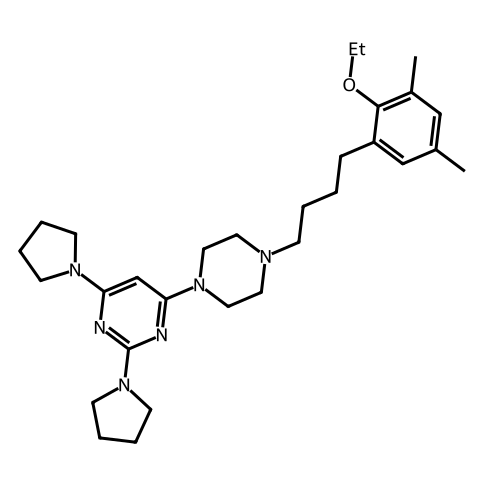 CCOc1c(C)cc(C)cc1CCCCN1CCN(c2cc(N3CCCC3)nc(N3CCCC3)n2)CC1